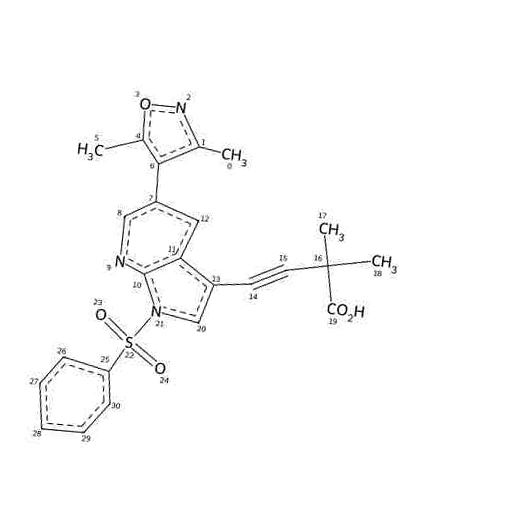 Cc1noc(C)c1-c1cnc2c(c1)c(C#CC(C)(C)C(=O)O)cn2S(=O)(=O)c1ccccc1